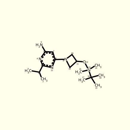 CC(C)c1nc(N)cc(N2CC(O[Si](C)(C)C(C)(C)C)C2)n1